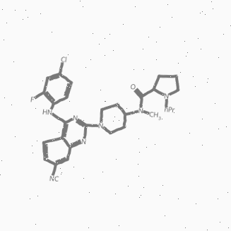 [C-]#[N+]c1ccc2c(Nc3ccc(Cl)cc3F)nc(N3CCC(N(C)C(=O)C4CCCN4CCC)CC3)nc2c1